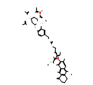 COC(=O)[C@H]1O[C@@H](Oc2ccc(COC(=O)NCC34OC5c6c(C)cc7c(OC)c8c(c(O)c7c6O[C@](OC)(C5O3)[C@@]4(O)CBr)C(=O)CCC8)cc2N=[N+]=[N-])[C@H](OC(C)=O)[C@@H](OC(C)=O)[C@@H]1OC(C)=O